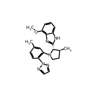 COc1cccc2[nH]c([C@@H]3[C@@H](C)CCN3c3cc(C)c[c]c3-n3nccn3)nc12